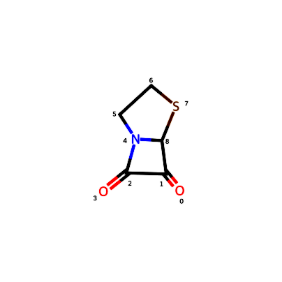 O=C1C(=O)N2CCSC12